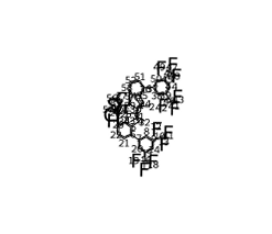 CC(C)C1=Cc2c(-c3cc(C(F)(F)F)cc(C(F)(F)F)c3)cccc2[CH]1[Zr]([Cl])([Cl])([CH]1C(C(C)C)=Cc2c(-c3cc(C(F)(F)F)cc(C(F)(F)F)c3)cccc21)[SiH](C)C